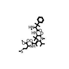 CNC(C(=O)NC(C(=O)N(C)C(C=C(C)C(=O)NC(CCSC)C(=O)OC)C(C)C)C(C)(C)C)C(C)(C)c1ccccc1